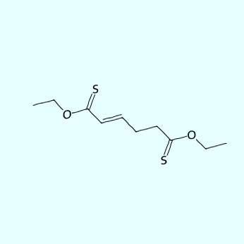 CCOC(=S)C=CCCC(=S)OCC